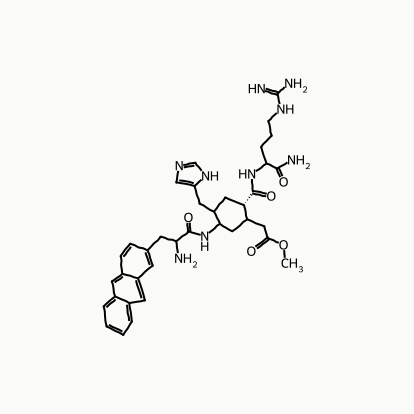 COC(=O)CC1CC(NC(=O)C(N)Cc2ccc3cc4ccccc4cc3c2)C(Cc2cnc[nH]2)C[C@@H]1C(=O)NC(CCCNC(=N)N)C(N)=O